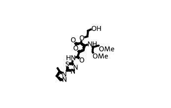 COCC(COC)Nc1cc(C(=O)Nc2nnc(-n3nccc3C)s2)oc(=O)c1OCCO